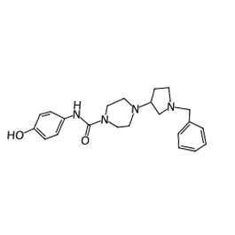 O=C(Nc1ccc(O)cc1)N1CCN(C2CCN(Cc3ccccc3)C2)CC1